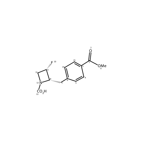 COC(=O)c1ccc(C[C@H]2[C@@H](F)CN2C(=O)O)cc1